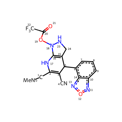 CNCC1=C(C#N)C(c2cccc3nonc23)C2=C(N1)N(OC(=O)C(F)(F)F)NC2